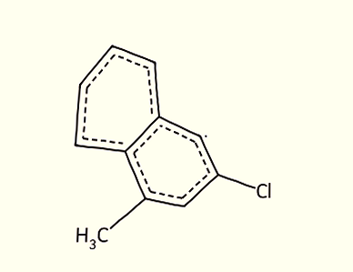 Cc1cc(Cl)[c]c2ccccc12